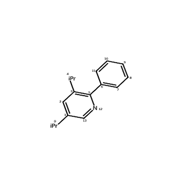 CC(C)c1[c]c(C(C)C)c(-c2ccccc2)nc1